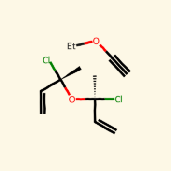 C#COCC.C=C[C@](C)(Cl)O[C@@](C)(Cl)C=C